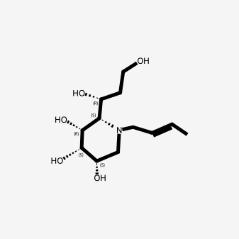 CC=CCN1C[C@H](O)[C@H](O)[C@H](O)[C@@H]1[C@H](O)CCO